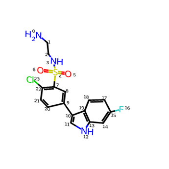 NCCNS(=O)(=O)c1cc(-c2c[nH]c3cc(F)ccc23)ccc1Cl